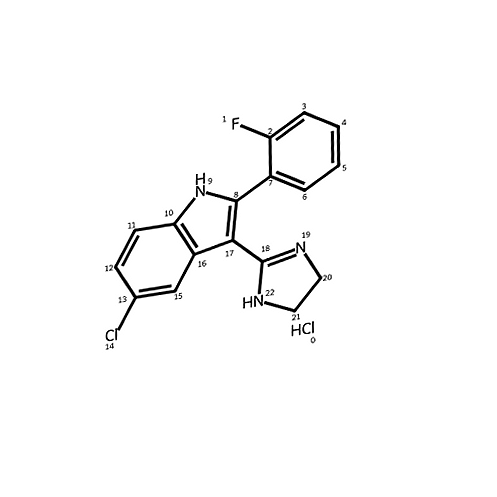 Cl.Fc1ccccc1-c1[nH]c2ccc(Cl)cc2c1C1=NCCN1